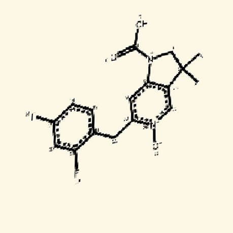 CC1(C)CN(C(=O)O)c2cc(Cc3ccc(F)cc3F)[n+]([O-])cc21